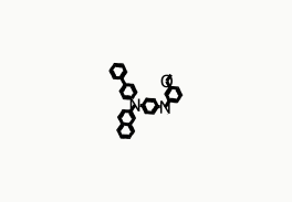 COc1cccc(N(C)c2ccc(N(c3ccc(-c4ccccc4)cc3)c3ccc4ccccc4c3)cc2)c1